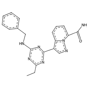 CCc1nc(NCc2ccccc2)nc(-c2cnn3c(C(N)=O)cccc23)n1